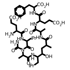 CC(C)CC(NC(=O)C(C)N(C(N)=O)C(=O)C(NC(=O)C(N)CCC(=O)O)C(C)C)C(O)CC(C)C(=O)NC(C)C(=O)NC(CCC(=O)O)C(=O)NC(Cc1ccccc1)C(=O)O